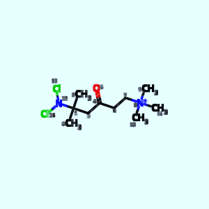 CC(C)(CC(=O)CC[N+](C)(C)C)N(Cl)Cl